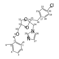 Cc1cccc(C)c1COCC1COC(CCc2ccc(Cl)cc2)(Cn2ccnc2)O1